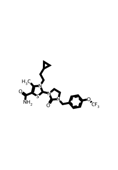 CC1=C(C(N)=O)SC(N2CCN(Cc3ccc(OC(F)(F)F)cc3)C2=O)N1CCC1CC1